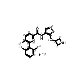 Cl.O=C(Nc1cnsc1OC1CNC1)c1ccc(F)c(-c2c(F)cccc2F)n1